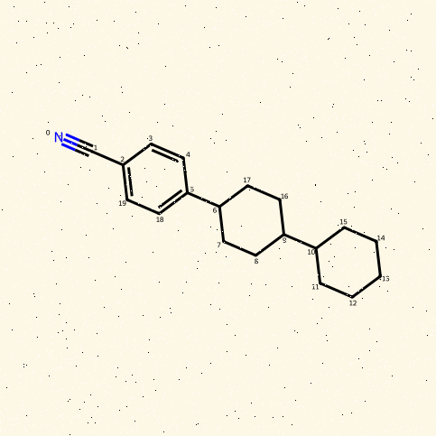 N#Cc1ccc(C2CCC(C3CC[CH]CC3)CC2)cc1